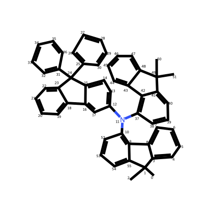 CC1(C)c2ccccc2-c2c(N(c3ccc4c(c3)-c3ccccc3C4(c3ccccc3)c3ccccc3)c3cccc4c3-c3ccccc3C4(C)C)cccc21